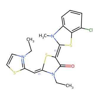 CCn1c(=O)/c(=C2\Sc3c(Cl)cccc3N2C)s/c1=C\c1scc[n+]1CC